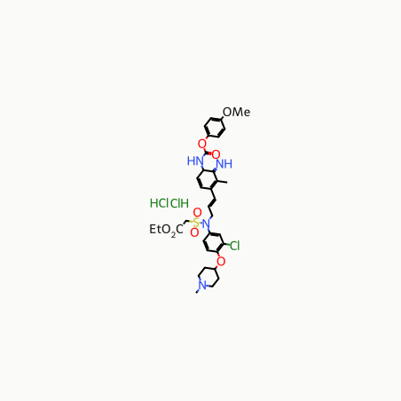 CCOC(=O)CS(=O)(=O)N(C/C=C/C1=C(C)C(=N)C(NC(=O)Oc2ccc(OC)cc2)C=C1)c1ccc(OC2CCN(C)CC2)c(Cl)c1.Cl.Cl